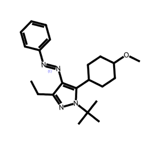 CCc1nn(C(C)(C)C)c(C2CCC(OC)CC2)c1/N=N/c1ccccc1